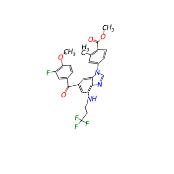 COC(=O)c1ccc(-n2cnc3c(NCCC(F)(F)F)cc(C(=O)c4ccc(OC)c(F)c4)cc32)cc1C